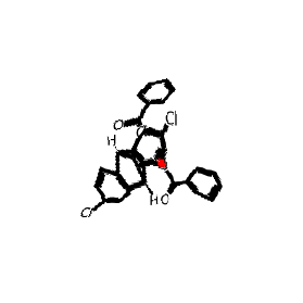 O=C(OC1C(OC(=O)c2ccccc2)[C@H]2c3ccc(Cl)cc3[C@H]1c1ccc(Cl)cc12)c1ccccc1